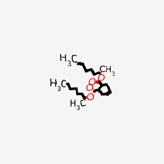 CCCCCCC(C)OC(=O)C1CC=CCC1C(=O)OC(C)CCCCCC